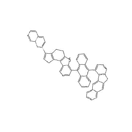 C1=CC2=CC=C(C3=CCC4=C3CCc3sc5c(-c6c7ccccc7c(-c7cccc8c7-c7cc9ccccc9cc7C8)c7ccccc67)cccc5c34)CC2C=C1